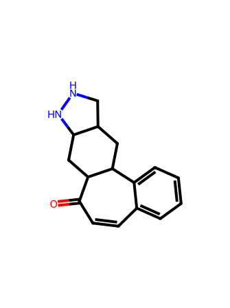 O=C1C=Cc2ccccc2C2CC3CNNC3CC12